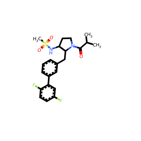 CC(C)C(=O)N1CCC(NS(C)(=O)=O)C1Cc1cccc(-c2cc(F)ccc2F)c1